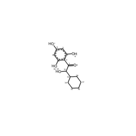 O=C(c1c(O)cc(O)cc1O)C(O)C1CCCCC1